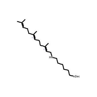 CCCCCCCCCCCCCCCCNC/C=C(\C)CC/C=C(\C)CCC=C(C)C